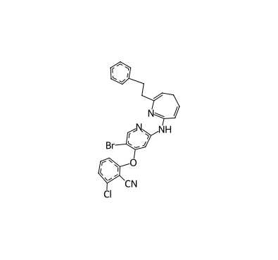 N#Cc1c(Cl)cccc1Oc1cc(NC2=NC(CCc3ccccc3)=CCC=C2)ncc1Br